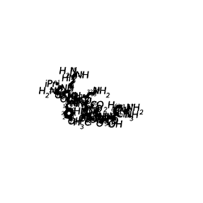 CC(C)C[C@H](NC(=O)[C@H](CCCNC(=N)N)NC(=O)[C@H](Cc1ccc(O)cc1)NC(=O)[C@H](CCCCN)NC(=O)[C@H](CC(=O)O)NC(=O)[C@@H](NC(=O)[C@H](C)NC(=O)[C@H](CO)NC(=O)[C@@H](C)CCCNC(=N)N)[C@@H](C)O)C(N)=O